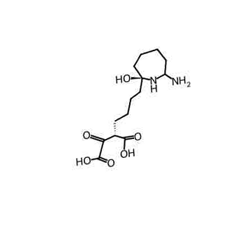 NC1CCCC[C@@](O)(CCCC[C@H](C(=O)O)C(=O)C(=O)O)N1